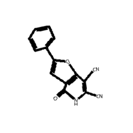 N#Cc1[nH]c(=O)c2cc(-c3ccccc3)oc2c1C#N